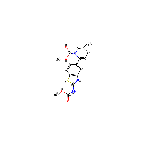 CC1CC=C(c2ccc3sc(NC(=O)OC(C)(C)C)nc3c2)N(C(=O)OC(C)(C)C)C1